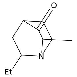 CCC1CC2CCN1C(C)C2=O